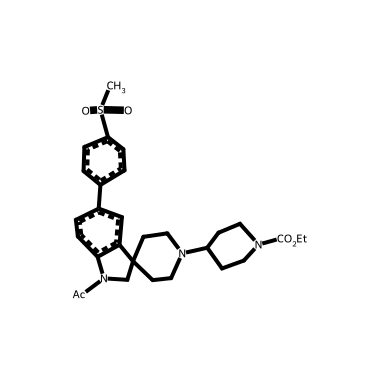 CCOC(=O)N1CCC(N2CCC3(CC2)CN(C(C)=O)c2ccc(-c4ccc(S(C)(=O)=O)cc4)cc23)CC1